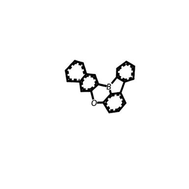 c1ccc2c(c1)B1c3cc4ccccc4cc3Oc3cccc-2c31